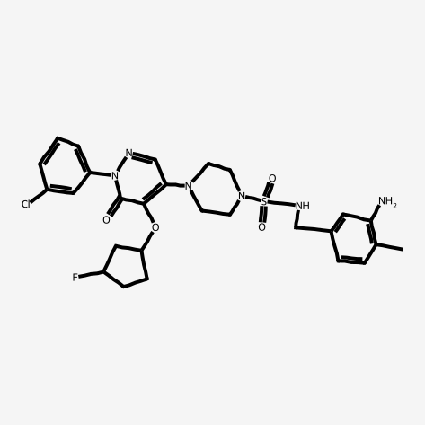 Cc1ccc(CNS(=O)(=O)N2CCN(c3cnn(-c4cccc(Cl)c4)c(=O)c3OC3CCC(F)C3)CC2)cc1N